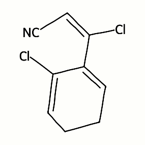 N#C/C=C(/Cl)C1=CCCC=C1Cl